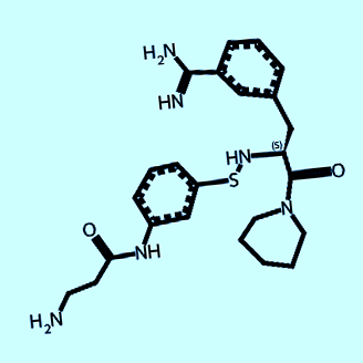 N=C(N)c1cccc(C[C@H](NSc2cccc(NC(=O)CCN)c2)C(=O)N2CCCCC2)c1